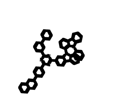 c1ccc(-c2cccc(-c3nc(-c4ccc(-c5ccc6ccccc6c5)cc4)nc(-c4ccc5c6ccccc6n(-c6cccc7c8ccccc8n(-c8ccccc8)c67)c5c4)n3)c2)cc1